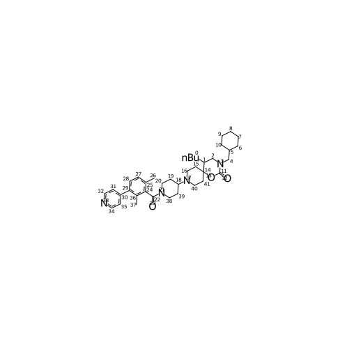 CCCCC1CN(CC2CCCCC2)C(=O)OC12CCN(C1CCN(C(=O)c3c(C)ccc(-c4ccncc4)c3C)CC1)CC2